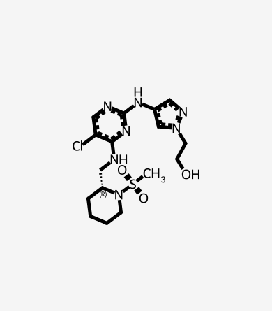 CS(=O)(=O)N1CCCC[C@@H]1CNc1nc(Nc2cnn(CCO)c2)ncc1Cl